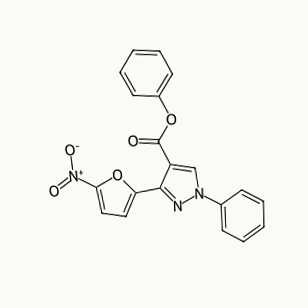 O=C(Oc1ccccc1)c1cn(-c2ccccc2)nc1-c1ccc([N+](=O)[O-])o1